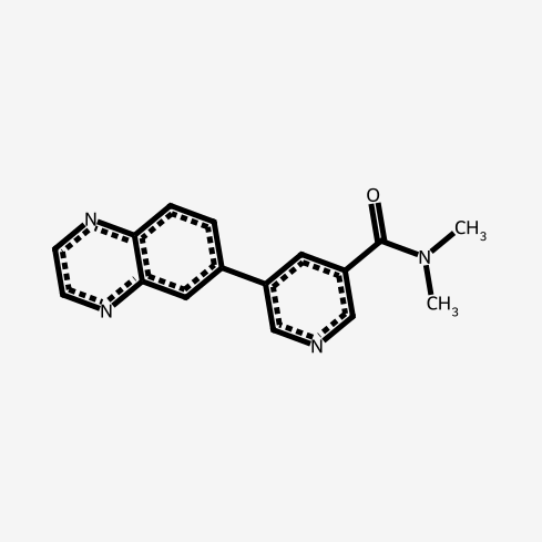 CN(C)C(=O)c1cncc(-c2ccc3nccnc3c2)c1